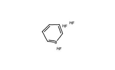 F.F.F.b1ccccc1